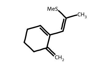 C=C1CCCC=C1/C=C(/C)SC